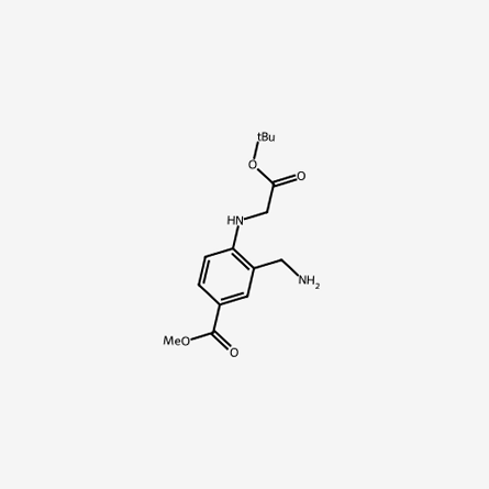 COC(=O)c1ccc(NCC(=O)OC(C)(C)C)c(CN)c1